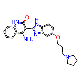 Nc1c(-c2nc3cc(OCCCN4CCCC4)ccc3[nH]2)c(=O)[nH]c2ccccc12